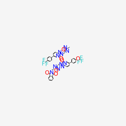 Cc1noc(Cn2nc3ccc(-c4ccc(C(F)(F)F)cc4)cn3c2=O)n1.O=C1c2ccccc2C(=O)N1Cc1nc(Cn2nc3ccc(-c4ccc(OC(F)(F)F)cc4)cn3c2=O)no1